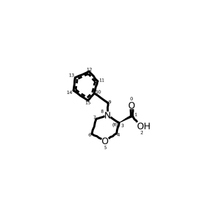 O=C(O)[C@H]1COCCN1Cc1ccccc1